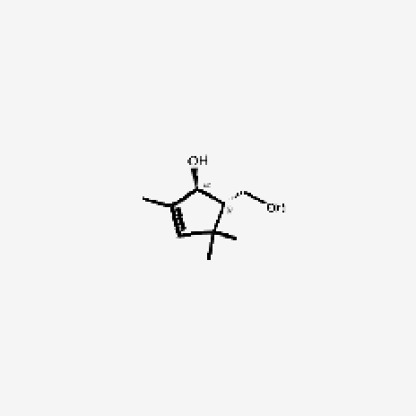 CC1=CC(C)(C)[C@@H](CO)[C@@H]1O